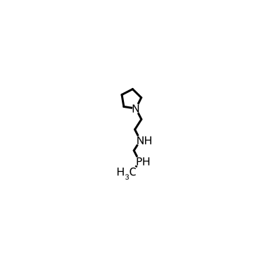 CPCNCCN1CCCC1